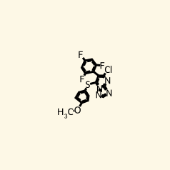 COc1ccc(Sc2c(-c3c(F)cc(F)cc3F)c(Cl)nc3ncnn23)cc1